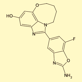 Nc1nc2cc(-c3nc4cc(O)cc5c4n3CCCCO5)cc(F)c2o1